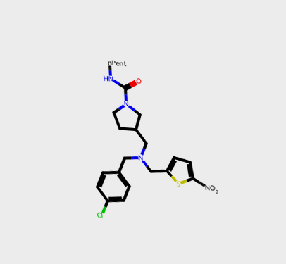 CCCCCNC(=O)N1CCC(CN(Cc2ccc(Cl)cc2)Cc2ccc([N+](=O)[O-])s2)C1